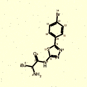 CCC(C)C(N)C(=O)Nc1nnc(-c2ccc(Br)cc2)s1